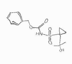 CC(C)(O)C1(S(=O)(=O)NC(=O)OCc2ccccc2)CC1